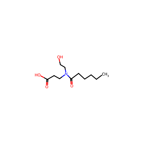 CCCCCC(=O)N(CCO)CCC(=O)O